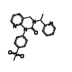 CC(c1ccccn1)N1Cc2cccnc2N(c2ccc(S(C)(=O)=O)cc2)C1=O